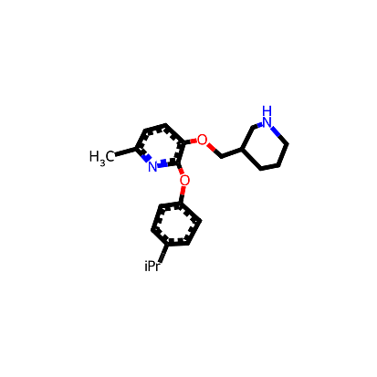 Cc1ccc(OCC2CCCNC2)c(Oc2ccc(C(C)C)cc2)n1